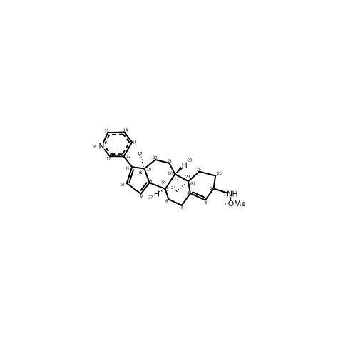 CONC1C=C2CC[C@H]3C4=CC=C(c5cccnc5)[C@@]4(C)CC[C@@H]3[C@@]2(C)CC1